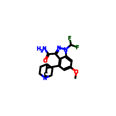 COc1cc(C2CN3CCC2CC3)c2c(C(N)=O)nn(C(F)F)c2c1